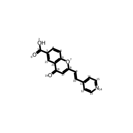 O=C(O)c1ccc2oc(C=Cc3ccncc3)cc(=O)c2c1